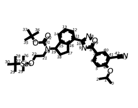 CC(C)Oc1ccc(-c2nc(-c3cccc4c3CCC4N(CCO[Si](C)(C)C(C)(C)C)C(=O)OC(C)(C)C)no2)cc1C#N